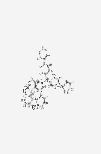 c1ccc(-c2ccc(N(c3ccc(-c4ccccc4)cc3)c3cccc(-c4cccc5oc6ccc7oc8ccccc8c7c6c45)c3)cc2)cc1